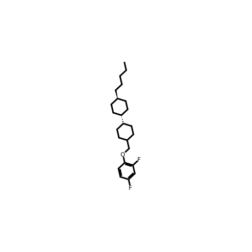 CCCCC[C@H]1CC[C@H](C2CCC(COc3ccc(F)cc3F)CC2)CC1